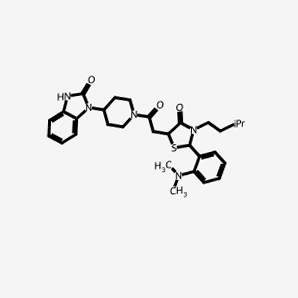 CC(C)CCN1C(=O)C(CC(=O)N2CCC(n3c(=O)[nH]c4ccccc43)CC2)SC1c1ccccc1N(C)C